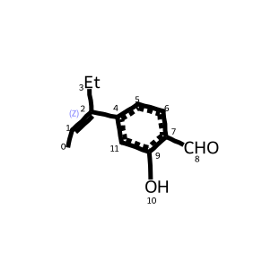 C/C=C(/CC)c1ccc(C=O)c(O)c1